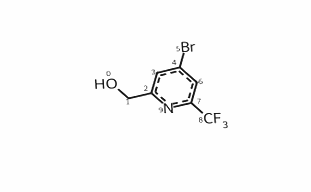 OCc1cc(Br)cc(C(F)(F)F)n1